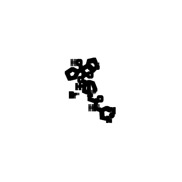 O=C(C[N+]12CCC(CC1)[C@@H](OC(=O)C(O)(c1ccsc1)C1CCCC1)C2)Nc1cncnc1.[Br-]